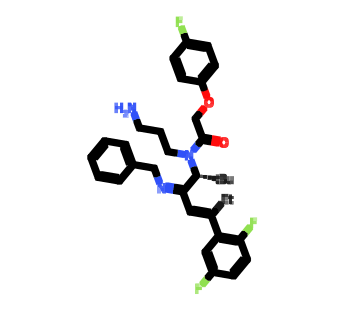 CC/C(=C\C(=N\Cc1ccccc1)[C@H](N(CCCN)C(=O)COc1ccc(F)cc1)C(C)(C)C)c1cc(F)ccc1F